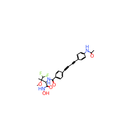 COC(C)(C(F)F)C(NC(=O)c1ccc(C#CC#Cc2ccc(NC(C)=O)cc2)cc1)C(=O)NO